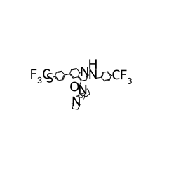 O=C(c1cc(NCc2ccc(C(F)(F)F)cc2)nc2ccc(-c3ccc(SC(F)(F)F)cc3)cc12)N1CCC[C@H]1CN1CCCC1